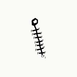 FC(F)(F)C(F)(F)C(F)(F)C(F)(F)C(F)(F)C(F)(F)C(F)(F)C(F)(F)C1CC2=CCC1C2